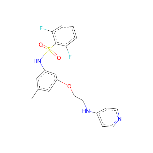 Cc1cc(NS(=O)(=O)c2c(F)cccc2F)cc(OCCNc2ccncc2)c1